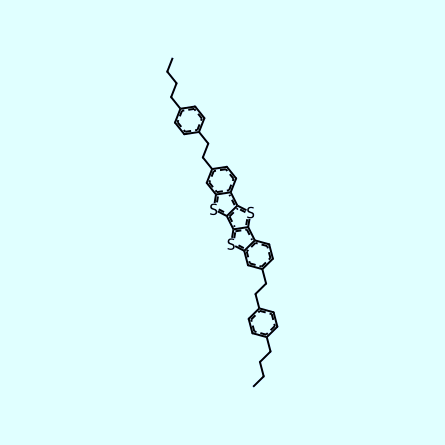 CCCCc1ccc(CCc2ccc3c(c2)sc2c3sc3c4ccc(CCc5ccc(CCCC)cc5)cc4sc32)cc1